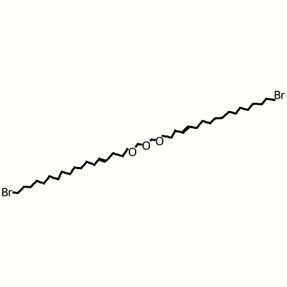 BrCCCCCCCCCCCCCC=CCCCOCOCOCCCC=CCCCCCCCCCCCCCBr